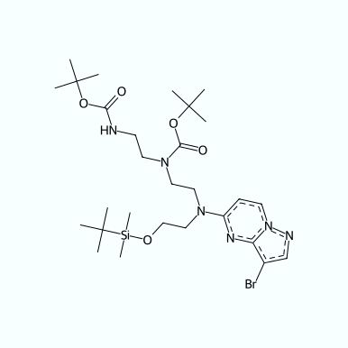 CC(C)(C)OC(=O)NCCN(CCN(CCO[Si](C)(C)C(C)(C)C)c1ccn2ncc(Br)c2n1)C(=O)OC(C)(C)C